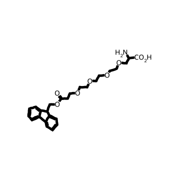 NC(COCCOCCOCCOCCC(=O)OCC1c2ccccc2-c2ccccc21)C(=O)O